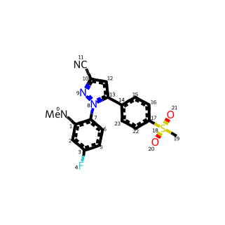 CNc1cc(F)ccc1-n1nc(C#N)cc1-c1ccc(S(C)(=O)=O)cc1